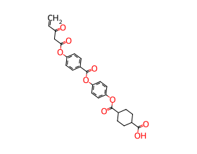 C=CC(=O)CC(=O)Oc1ccc(C(=O)Oc2ccc(OC(=O)C3CCC(C(=O)O)CC3)cc2)cc1